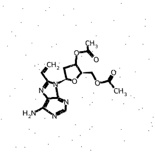 C=Cc1nc2c(N)ncnc2n1[C@H]1CC(OC(C)=O)[C@@H](COC(C)=O)O1